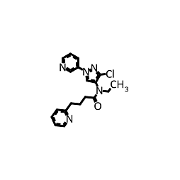 CCN(C(=O)CCCc1ccccn1)c1cn(-c2cccnc2)nc1Cl